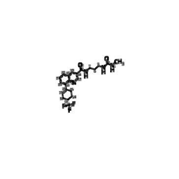 CNC(=O)NCCCNC(=O)c1cnc2c(C3=CC[C@@H](C(F)(F)F)CC3)cccc2c1